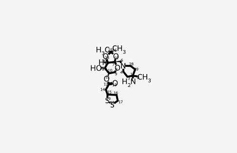 CC1(N)CCN(C[C@@]23OC[C@@H](OC(=O)CC4CCSS4)[C@@H](O)[C@@H]2OC(C)(C)O3)CC1